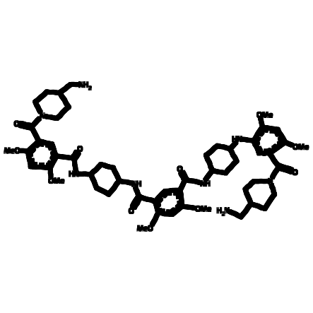 COc1cc(OC)c(C(=O)N2CCC(CN)CC2)cc1NC1CCC(NC(=O)c2cc(C(=O)NC3CCC(NC(=O)c4cc(C(=O)N5CCC(CN)CC5)c(OC)cc4OC)CC3)c(OC)cc2OC)CC1